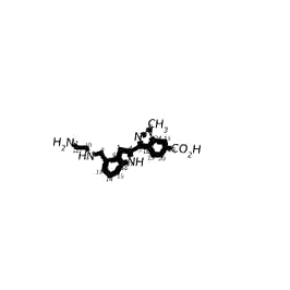 Cn1nc(-c2cc3c(CNCCN)cccc3[nH]2)c2ccc(C(=O)O)cc21